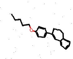 [CH2]CCCCOc1ccc(C2=Cc3ccccc3CCC2)cc1